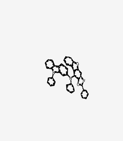 c1ccc(-c2nc3cc4oc5ccccc5c4c(N(c4ccccc4)c4ccc5c6ccccc6n(-c6ccccc6)c5c4)c3o2)cc1